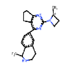 C[C@H]1CCN1c1nc2c(c(-c3ccc4c(c3)CCNC4C(F)(F)F)n1)CCC2